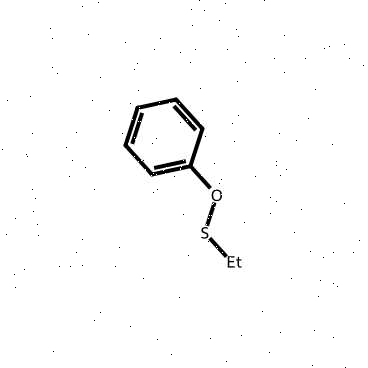 CCSOc1ccccc1